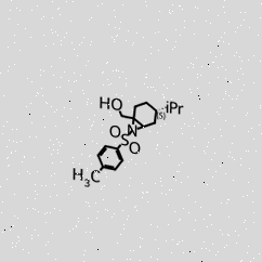 Cc1ccc(S(=O)(=O)N2C3C[C@@H](C(C)C)CCC32CO)cc1